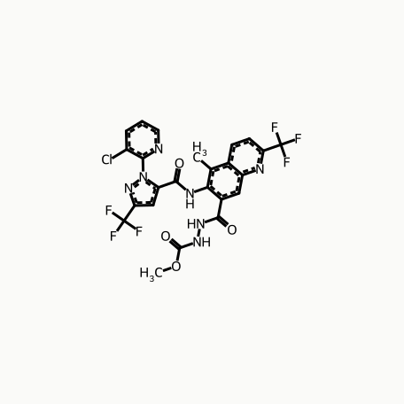 COC(=O)NNC(=O)c1cc2nc(C(F)(F)F)ccc2c(C)c1NC(=O)c1cc(C(F)(F)F)nn1-c1ncccc1Cl